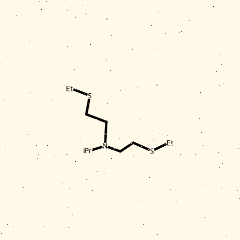 CCSCCN(CCSCC)C(C)C